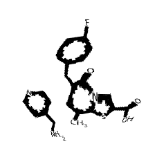 Cc1cc(Cc2ccc(F)cc2)c(=O)n2cc(C(=O)O)sc12.NCc1ccncc1